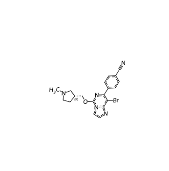 CN1CC[C@@H](COc2nc(-c3ccc(C#N)cc3)c(Br)c3nccn23)C1